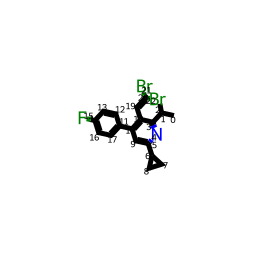 CC(C)c1nc(C2CC2)cc(-c2ccc(F)cc2)c1C=C(Br)Br